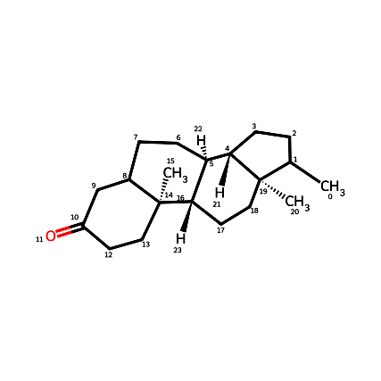 CC1CC[C@H]2[C@@H]3CCC4CC(=O)CC[C@]4(C)[C@H]3CC[C@]12C